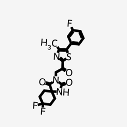 Cc1nc(C(=O)CN2C(=O)NC3(CCC(F)(F)CC3)C2=O)sc1-c1cccc(F)c1